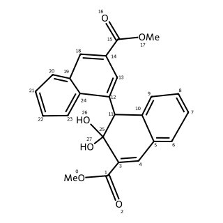 COC(=O)C1=Cc2ccccc2C(c2cc(C(=O)OC)cc3ccccc23)C1(O)O